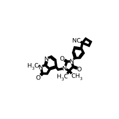 CN1C(=O)Cc2c(CN3C(=O)N(c4ccc(C5(C#N)CCC5)cc4)C(=O)C3(C)C)ccnc21